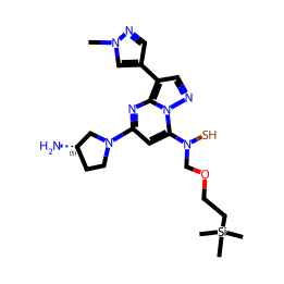 Cn1cc(-c2cnn3c(N(S)COCC[Si](C)(C)C)cc(N4CC[C@H](N)C4)nc23)cn1